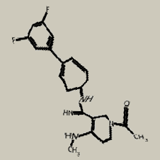 CNC1=C(C(=N)NC2C=CC(c3cc(F)cc(F)c3)=CC2)CN(C(C)=O)CC1